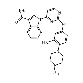 Cc1cc(Nc2nccc(-n3cc(C(N)=O)c4cccnc43)n2)ccc1N1CCN(C)CC1